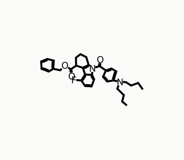 CCCCN(CCCC)c1ccc(C(=O)n2c3c(c4c(F)cccc42)C(C(=O)OCc2ccccc2)CCC3)cc1